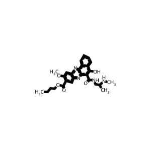 CCCCOC(=O)c1cc2nc3c(C(=O)NCC(C)NC)c(O)c4ccccc4c3nc2cc1OC